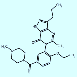 CCCc1n[nH]c2c(=O)n(-c3cc(C(=O)N4CCN(C)CC4)ccc3OCC)c(C)nc12